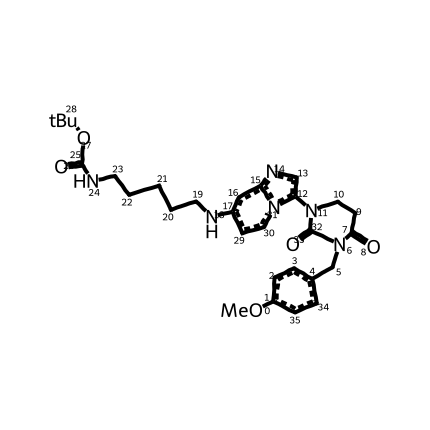 COc1ccc(CN2C(=O)CCN(c3cnc4cc(NCCCCCNC(=O)OC(C)(C)C)ccn34)C2=O)cc1